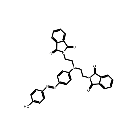 O=C1c2ccccc2C(=O)N1CCN(CCN1C(=O)c2ccccc2C1=O)c1ccc(/N=N/c2ccc(O)cc2)cc1